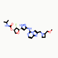 COCC1CCN1Cc1cn2c(Nc3cc([C@@H]4OC[C@H](OC(=O)NC(C)C)[C@@H]4F)[nH]n3)nccc2n1